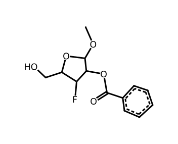 COC1OC(CO)C(F)C1OC(=O)c1ccccc1